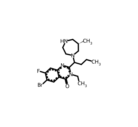 CCCC(c1nc2cc(F)c(Br)cc2c(=O)n1CC)N1CCNC[C@H](C)C1